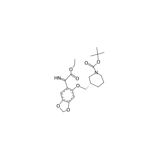 CCOC(=O)C(=N)c1cc2c(cc1OC[C@H]1CCCN(C(=O)OC(C)(C)C)C1)OCO2